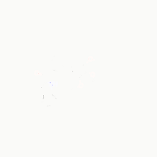 COc1cc(-c2cccc(C(=O)c3cc4ccccc4[nH]3)c2)cc(OC)c1OC